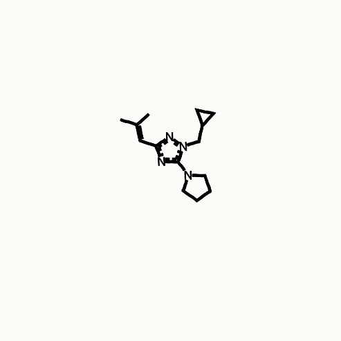 CC(C)=Cc1nc(N2CCCC2)n(CC2CC2)n1